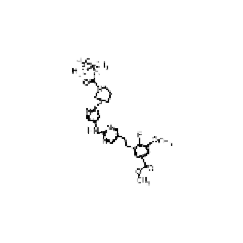 COC(=O)c1cc(CCc2cnc(Nc3cnn([C@@H]4CCCN(C(=O)OC(C)(C)C)C4)c3)nc2)c(F)c(OC)c1